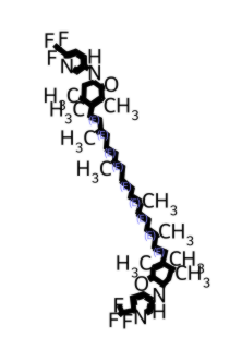 CC1=C(/C=C/C(C)=C/C=C/C(C)=C/C=C/C=C(C)/C=C/C=C(C)/C=C/C2=C(C)C(=O)C(Nc3ccc(C(F)(F)F)nc3)CC2(C)C)C(C)(C)CC(Nc2ccc(C(F)(F)F)nc2)C1=O